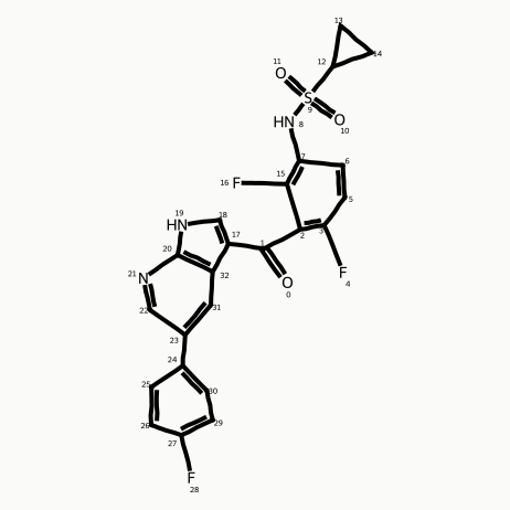 O=C(c1c(F)ccc(NS(=O)(=O)C2CC2)c1F)c1c[nH]c2ncc(-c3ccc(F)cc3)cc12